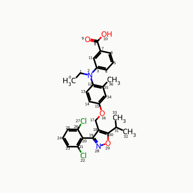 CCN(c1cccc(C(=O)O)c1)c1ccc(OCc2c(-c3c(Cl)cccc3Cl)noc2C(C)C)cc1C